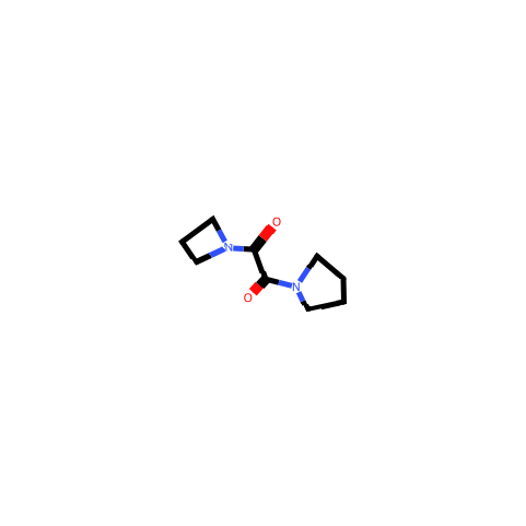 O=C(C(=O)N1CCC1)N1CCCC1